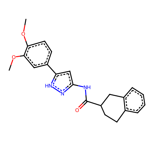 COc1ccc(-c2cc(NC(=O)C3CCc4ccccc4C3)n[nH]2)cc1OC